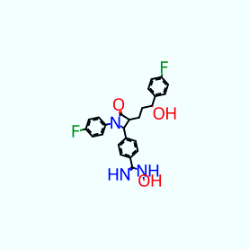 N=C(NO)c1ccc(C2C(CCC(O)c3ccc(F)cc3)C(=O)N2c2ccc(F)cc2)cc1